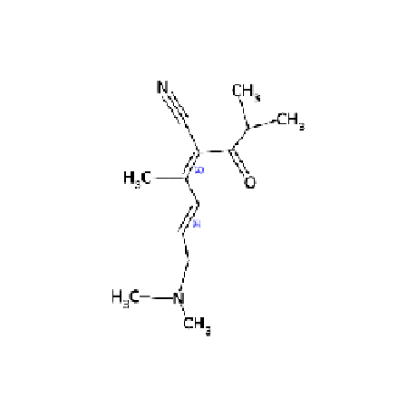 CC(/C=C/CN(C)C)=C(\C#N)C(=O)C(C)C